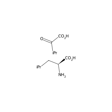 CC(C)C(=O)C(=O)O.CC(C)C[C@H](N)C(=O)O